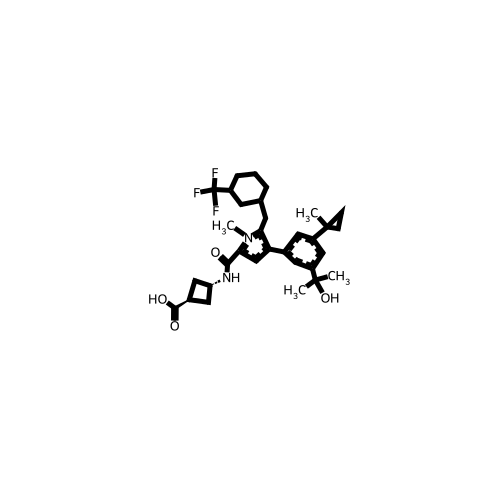 Cn1c(C(=O)N[C@H]2C[C@H](C(=O)O)C2)cc(-c2cc(C(C)(C)O)cc(C3(C)CC3)c2)c1CC1CCCC(C(F)(F)F)C1